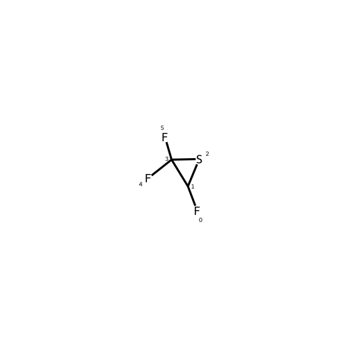 FC1SC1(F)F